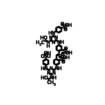 CC(O)Nc1nc(Nc2ccc(S(=O)(=O)O)cc2)nc(Nc2ccc(C=Cc3ccc(Nc4nc(Nc5ccc(S(=O)(=O)O)cc5)nc(NC(C)O)n4)cc3S(=O)(=O)O)c(S(=O)(=O)O)c2)n1